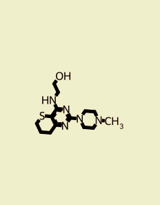 CN1CCN(c2nc3c(c(NCCO)n2)SCCC3)CC1